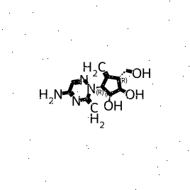 C=C1[C@@H](N2N=CC(N)=NC2=C)[C@@H](O)C(O)[C@H]1CO